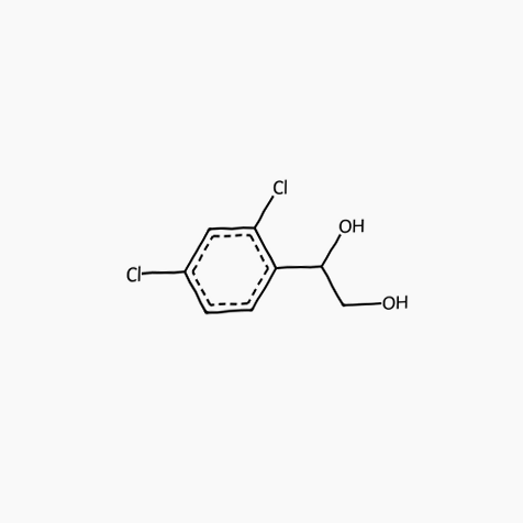 OCC(O)c1ccc(Cl)cc1Cl